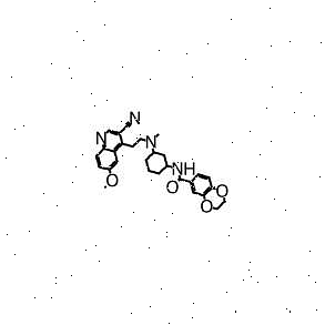 COc1ccc2ncc(C#N)c(CCN(C)C3CCCC(NC(=O)c4ccc5c(c4)OCCO5)C3)c2c1